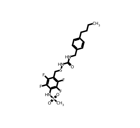 CCCCc1ccc(CNC(=O)NSCc2c(F)c(F)c(NS(C)(=O)=O)c(F)c2F)cc1